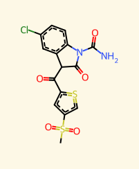 CS(=O)(=O)c1csc(C(=O)C2C(=O)N(C(N)=O)c3ccc(Cl)cc32)c1